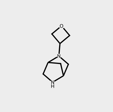 C1NC2CC1N(C1COC1)C2